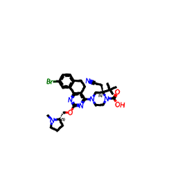 CN1CCC[C@H]1COc1nc2c(c(N3CCN(C(=O)O)[C@@](CC#N)(C(C)(C)C)C3)n1)CCc1ccc(Br)cc1-2